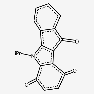 CC(C)n1c2c(=O)ccc(=O)c2c2c(=O)c3ccccc3c21